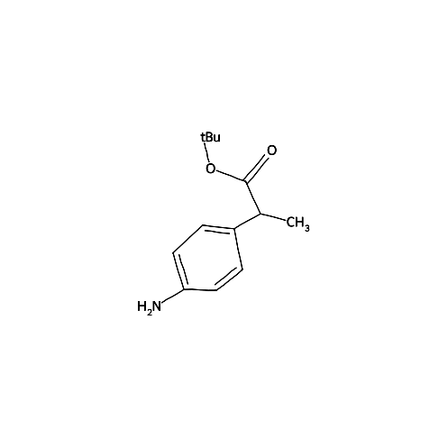 CC(C(=O)OC(C)(C)C)c1ccc(N)cc1